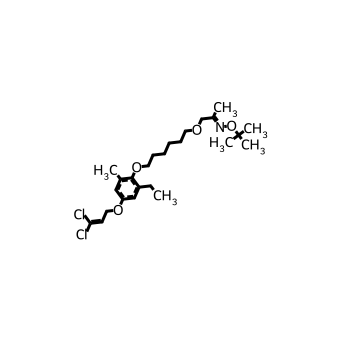 CCc1cc(OCC=C(Cl)Cl)cc(C)c1OCCCCCCOCC(C)=NOC(C)(C)C